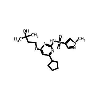 Cn1cc(S(=O)(=O)Nc2nc(OCCC(C)(C)O)cc(C3CCCC3)n2)cn1